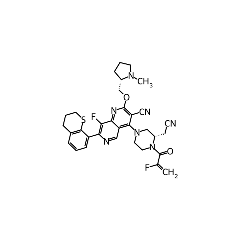 C=C(F)C(=O)N1CCN(c2c(C#N)c(OC[C@@H]3CCCN3C)nc3c(F)c(-c4cccc5c4SCCC5)ncc23)C[C@@H]1CC#N